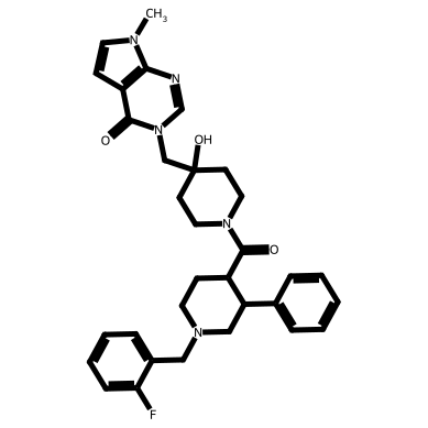 Cn1ccc2c(=O)n(CC3(O)CCN(C(=O)C4CCN(Cc5ccccc5F)CC4c4ccccc4)CC3)cnc21